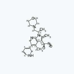 Cc1c(C2=CC=CNC2)cnc2c1c(C(=O)N=O)c(C)n2C(C)CN1CCOCC1